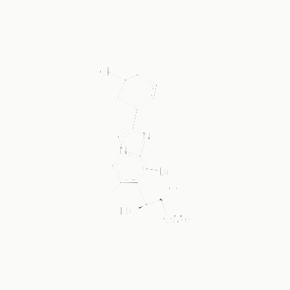 COC(=O)[C@@H](O)c1c(C)cn2cc(-c3cccc(Cl)c3)nc2c1Br